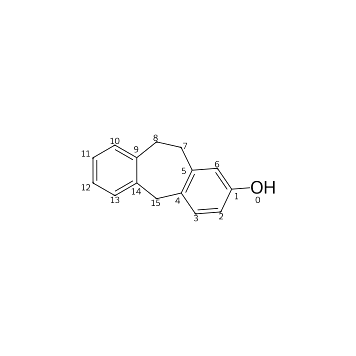 Oc1ccc2c(c1)CCc1ccccc1C2